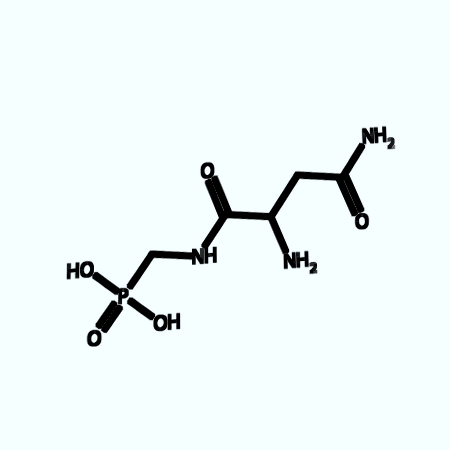 NC(=O)CC(N)C(=O)NCP(=O)(O)O